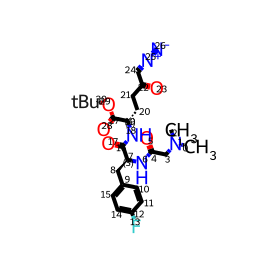 CN(C)CC(=O)N[C@@H](Cc1ccc(F)cc1)C(=O)N[C@@H](CCC(=O)C=[N+]=[N-])C(=O)OC(C)(C)C